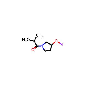 CC(C)C(=O)N1CCC(OI)C1